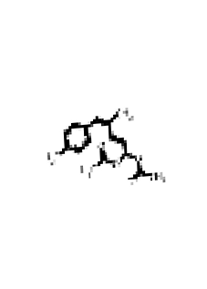 CC(=O)OC(C=CC(C)=Cc1ccc(C)cc1)OC(C)=O